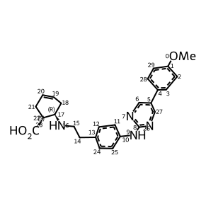 COc1ccc(-c2cnc(Nc3ccc(CCN[C@@H]4CC=CC[C@@H]4C(=O)O)cc3)nc2)cc1